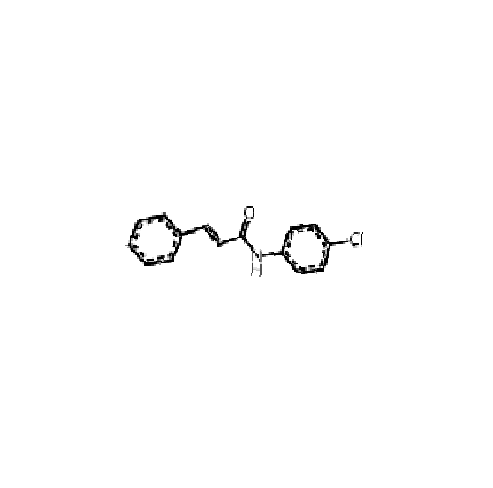 O=C(C=Cc1ccccc1)Nc1ccc(Cl)cc1